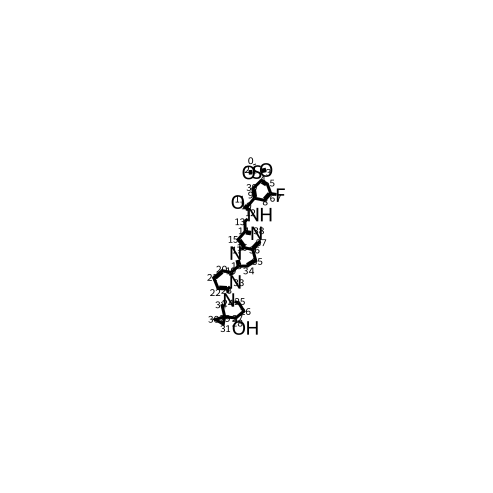 CS(=O)(=O)c1cc(F)cc(C(=O)NCc2cc3nc(-c4cccc(N5CC[C@H](O)C6(CC6)C5)n4)ccc3cn2)c1